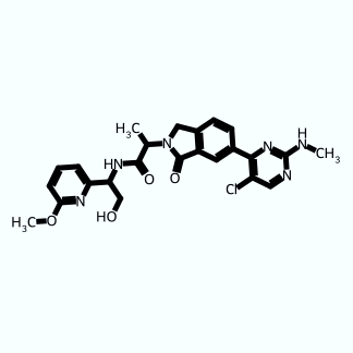 CNc1ncc(Cl)c(-c2ccc3c(c2)C(=O)N(C(C)C(=O)NC(CO)c2cccc(OC)n2)C3)n1